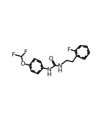 O=C(NCCc1ccccc1F)Nc1ccc(OC(F)F)cc1